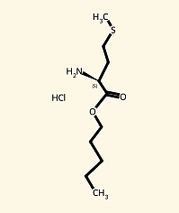 CCCCCOC(=O)[C@@H](N)CCSC.Cl